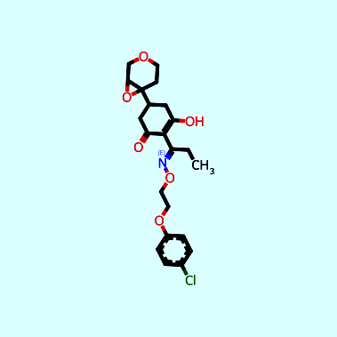 CC/C(=N\OCCOc1ccc(Cl)cc1)C1=C(O)CC(C23CCOCC2O3)CC1=O